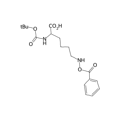 CC(C)(C)OC(=O)NC(CCCCNOC(=O)c1ccccc1)C(=O)O